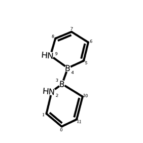 C1=CNB(B2C=CC=CN2)C=C1